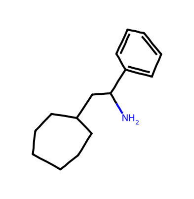 NC(CC1CCCCCC1)c1ccccc1